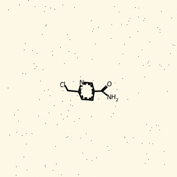 NC(=O)c1ccc(CCl)nc1